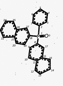 O=P(c1ccccc1)(c1ccc2ccccc2c1)c1ccc2ccccc2c1